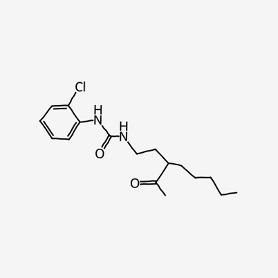 CCCCCC(CCNC(=O)Nc1ccccc1Cl)C(C)=O